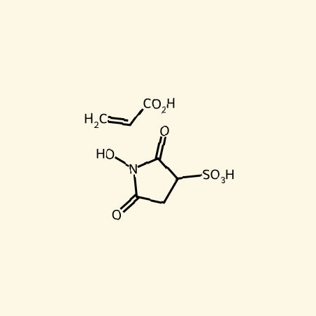 C=CC(=O)O.O=C1CC(S(=O)(=O)O)C(=O)N1O